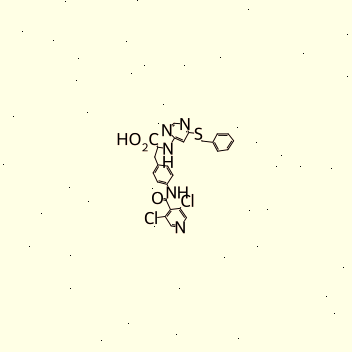 O=C(Nc1ccc(C[C@H](Nc2cc(SCc3ccccc3)ncn2)C(=O)O)cc1)c1c(Cl)cncc1Cl